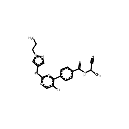 CCCn1cc(Nc2ncc(Cl)c(-c3ccc(C(=O)NC(C)C#N)cc3)n2)cn1